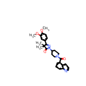 COc1ccc(C2=NN(C3CCN(C(=O)c4cccc5ncccc45)CC3)C(=O)C2(C)C)cc1OC